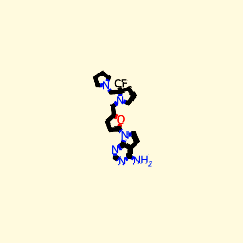 Nc1ncnc2c1ccn2C1CCC(CN2CCCC2(CN2CCCC2)C(F)(F)F)O1